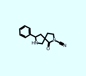 N#CN1CCC2(CNC(c3ccccc3)C2)C1=O